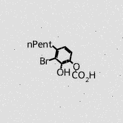 CCCCCc1ccc(OC(=O)O)c(O)c1Br